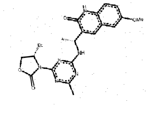 CC[C@H]1COC(=O)N1c1nc(C)nc(N[C@H](C)c2cc3cc(OC)ccc3[nH]c2=O)n1